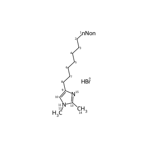 Br.CCCCCCCCCCCCCCCCc1cn(C)c(C)n1